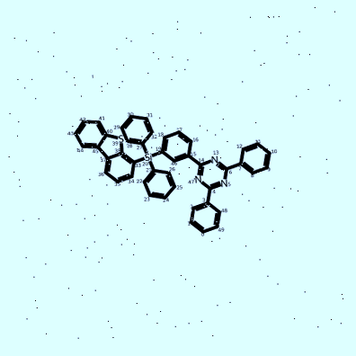 c1ccc(-c2nc(-c3ccccc3)nc(-c3cccc([Si](c4ccccc4)(c4ccccc4)c4cccc5c4sc4ccccc45)c3)n2)cc1